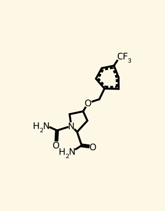 NC(=O)C1CC(OCc2ccc(C(F)(F)F)cc2)CN1C(N)=O